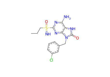 CCCS(=N)(=O)c1nc(N)c2[nH]c(=O)n(Cc3cccc(Cl)c3)c2n1